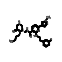 Cn1cc(-c2ccc(C(=O)NC[C@H]3CNCC(=O)N3CCCN)c(NCCc3cccc(F)c3)n2)cn1